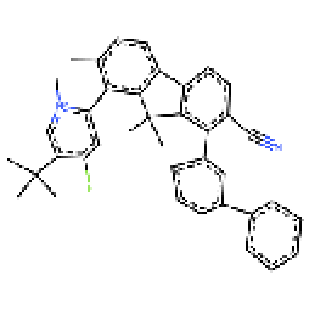 Cc1ccc2c(c1-c1cc(F)c(C(C)(C)C)c[n+]1C)C(C)(C)c1c-2ccc(C#N)c1-c1cccc(-c2ccccc2)c1